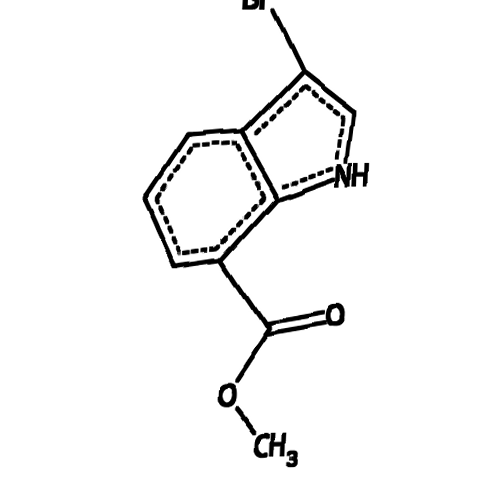 COC(=O)c1cccc2c(Br)c[nH]c12